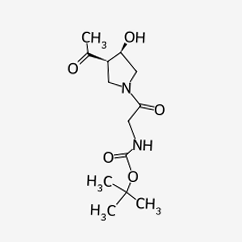 CC(=O)[C@@H]1CN(C(=O)CNC(=O)OC(C)(C)C)C[C@@H]1O